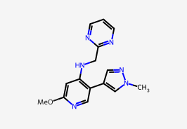 COc1cc(NCc2ncccn2)c(-c2cnn(C)c2)cn1